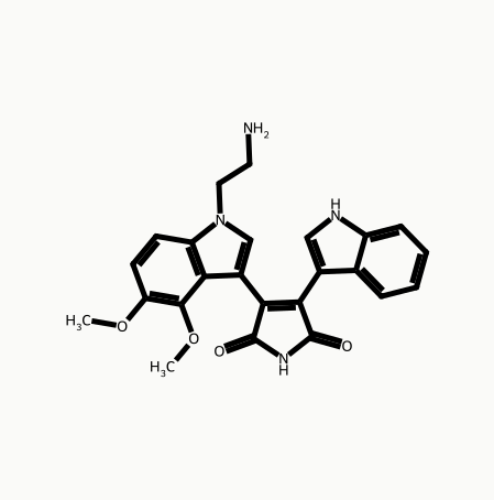 COc1ccc2c(c(C3=C(c4c[nH]c5ccccc45)C(=O)NC3=O)cn2CCN)c1OC